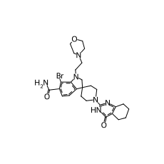 NC(=O)c1ccc2c(c1Br)N(CCN1CCOCC1)CC21CCN(c2nc3c(c(=O)[nH]2)CCCC3)CC1